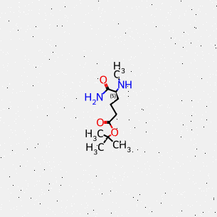 CN[C@@H](CCCC(=O)OC(C)(C)C)C(N)=O